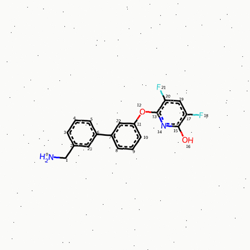 NCc1cccc(-c2cccc(Oc3nc(O)c(F)cc3F)c2)c1